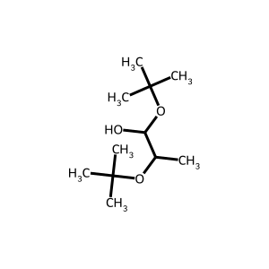 CC(OC(C)(C)C)C(O)OC(C)(C)C